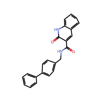 O=C(NCc1ccc(-c2ccccc2)cc1)c1cc2ccccc2[nH]c1=O